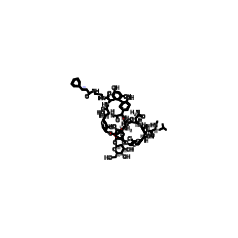 CN[C@H](CC(C)C)C(=O)N[C@H]1C(=O)N[C@@H](CC(N)=O)C(=O)NC2C(=O)N[C@H]3C(=O)N[C@H](C(=O)NC(C(=O)NCCNC(=O)/C=C/c4ccccc4)c4cc(O)cc(O)c4-c4cc3ccc4O)[C@H](O)c3ccc(c(Cl)c3)Oc3cc2cc(c3O[C@@H]2O[C@H](CO)[C@@H](O)[C@H](O)[C@H]2OC2C[C@](C)(N)[C@H](O)[C@H](C)O2)Oc2ccc(cc2Cl)[C@H]1O